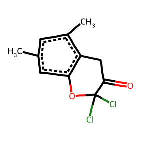 Cc1cc(C)c2c(c1)OC(Cl)(Cl)C(=O)C2